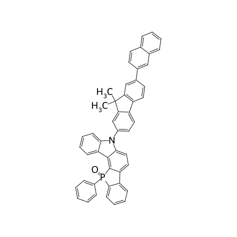 CC1(C)c2cc(-c3ccc4ccccc4c3)ccc2-c2ccc(-n3c4ccccc4c4c5c(ccc43)-c3ccccc3P5(=O)c3ccccc3)cc21